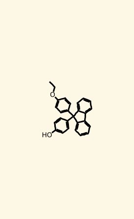 CCOc1ccc(C2(c3ccc(O)cc3)c3ccccc3-c3ccccc32)cc1